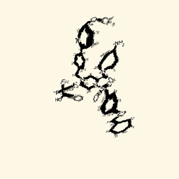 NC1CCN(C(=O)[C@@H]2CN(Cc3ccc(-c4ccc(OC(F)(F)F)cn4)cc3)CCN2S(=O)(=O)c2ccc(OCC3CCCCC3)cc2)CC1.O=C(O)C(F)(F)F